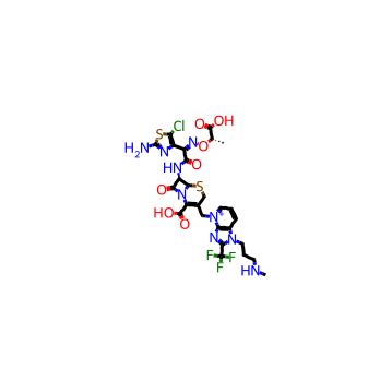 CNCCCn1c(C(F)(F)F)nc2c1ccc[n+]2CC1=C(C(=O)O)N2C(=O)[C@@H](NC(=O)/C(=N\O[C@@H](C)C(=O)O)c3nc(N)sc3Cl)C2SC1